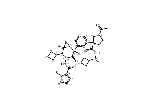 CC(=O)N1CCC(C(=O)NC(C)C2CCC2)(c2cccc([N+]3(C)C(=O)[C@@H](NC(=O)c4ccnn4C)C(C4CCC4)C4(C)CC43)c2)C1